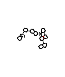 c1ccc(-c2ccccc2N(c2ccc(-c3cccc4ccccc34)cc2)c2ccc3cc(-c4cccc(-c5cc6ccccc6o5)c4)ccc3c2)cc1